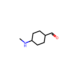 CNC1CCC(C=O)CC1